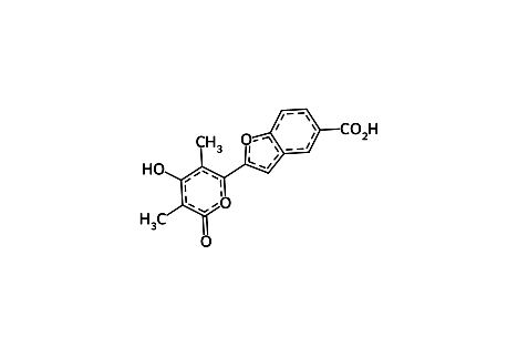 Cc1c(-c2cc3cc(C(=O)O)ccc3o2)oc(=O)c(C)c1O